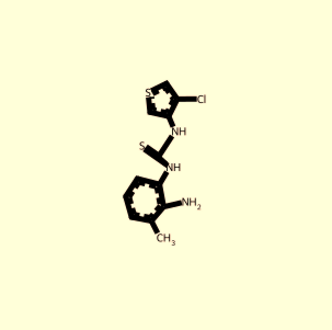 Cc1cccc(NC(=S)Nc2cscc2Cl)c1N